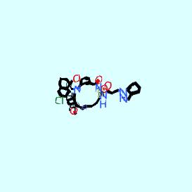 CO[C@H]1/C=C/CCC[S@@](=O)(NC(=O)CCn2ncc3ccccc32)=NC(=O)c2ccc3c(c2)N(C[C@@H]2CC[C@H]21)C[C@@]1(CCCc2cc(Cl)ccc21)CO3